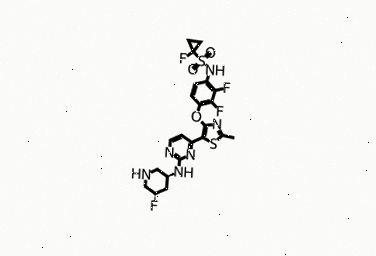 Cc1nc(Oc2ccc(NS(=O)(=O)C3(F)CC3)c(F)c2F)c(-c2ccnc(N[C@@H]3CNC[C@@H](F)C3)n2)s1